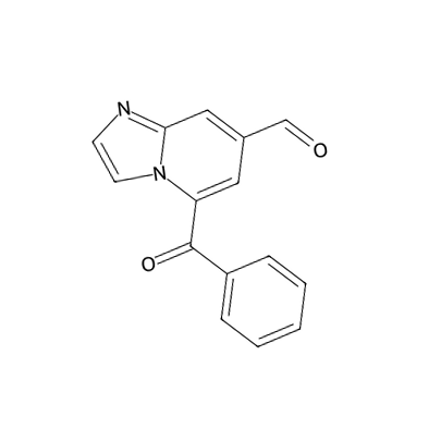 O=Cc1cc(C(=O)c2ccccc2)n2ccnc2c1